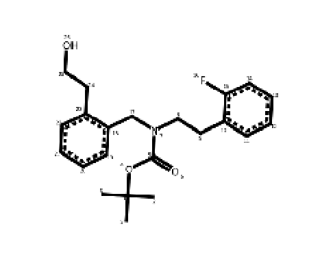 CC(C)(C)OC(=O)N(CCc1ccccc1F)Cc1ccccc1CCO